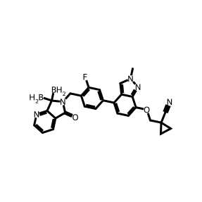 BC1(B)c2ncccc2C(=O)N1Cc1ccc(-c2ccc(OCC3(C#N)CC3)c3nn(C)cc23)cc1F